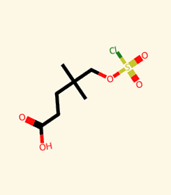 CC(C)(CCC(=O)O)COS(=O)(=O)Cl